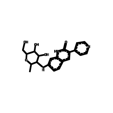 CC1OC(CO)C(O)C(O)C1Nc1ccc2cc(-c3ccncc3)c(=O)[nH]c2c1